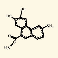 COC(=O)c1cc2ccc(C)cc2c2cc(O)c(O)cc12